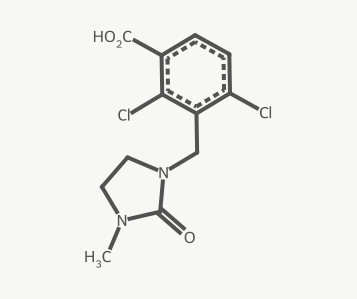 CN1CCN(Cc2c(Cl)ccc(C(=O)O)c2Cl)C1=O